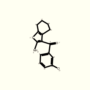 Nc1sc2c(c1C(=O)c1cccc(Cl)c1)CCCC2